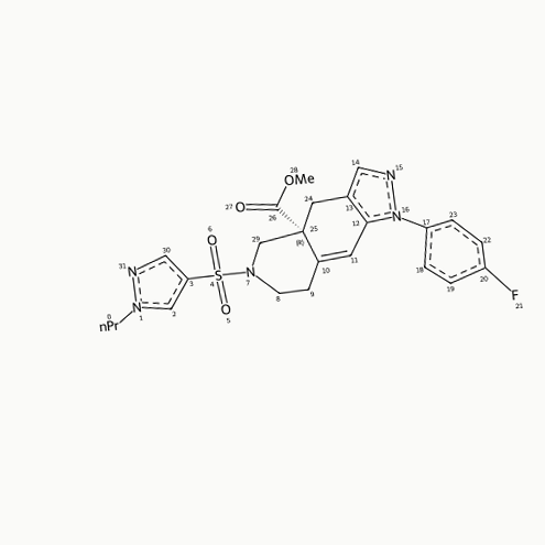 CCCn1cc(S(=O)(=O)N2CCC3=Cc4c(cnn4-c4ccc(F)cc4)C[C@]3(C(=O)OC)C2)cn1